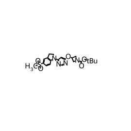 CC(C)(C)OC(=O)N1CC(Oc2cc(N3CCc4cc(S(C)(=O)=O)ccc43)ncn2)C1